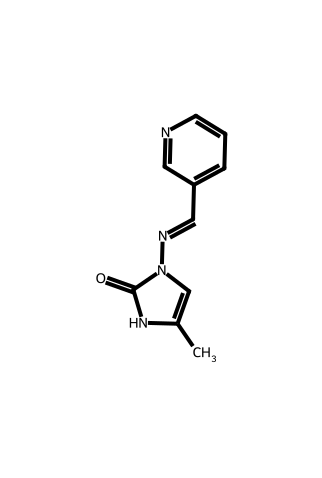 Cc1cn(/N=C/c2cccnc2)c(=O)[nH]1